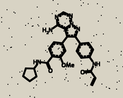 C=CC(=O)Nc1ccc(-c2nn3ncnc(N)c3c2-c2ccc(C(=O)NC3CCCC3)c(OC)c2)cc1